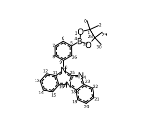 CC1(C)OB(c2cccc(-n3c4ccccc4n4c5ccccc5nc34)c2)OC1(C)C